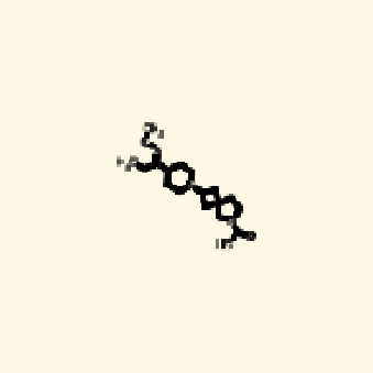 CC/C(=N\OC)C1CCN(C2CC3(CCN(C(=O)O)C3)C2)CC1